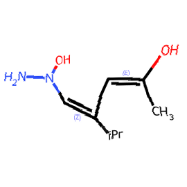 C/C(O)=C\C(=C/N(N)O)C(C)C